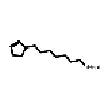 CCCCCCCCCCCCCCC1C=CCC1